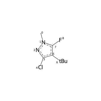 Cn1nc(Cl)c(C(C)(C)C)c1F